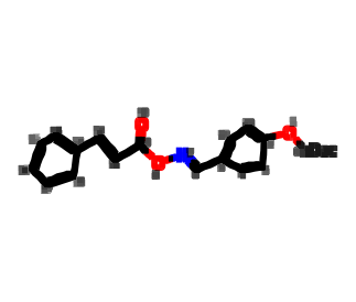 CCCCCCCCCCOc1ccc(C=NOC(=O)C=Cc2ccccc2)cc1